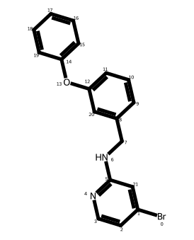 Brc1ccnc(NCc2cccc(Oc3ccccc3)c2)c1